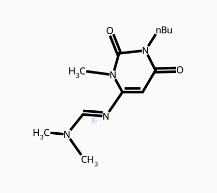 CCCCn1c(=O)cc(/N=C/N(C)C)n(C)c1=O